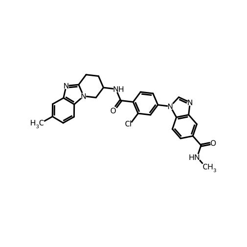 CNC(=O)c1ccc2c(c1)ncn2-c1ccc(C(=O)NC2CCc3nc4cc(C)ccc4n3C2)c(Cl)c1